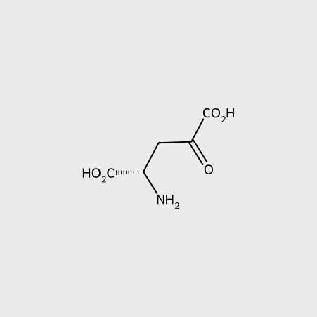 N[C@@H](CC(=O)C(=O)O)C(=O)O